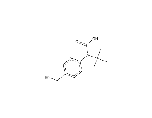 CC(C)(C)N(C(=O)O)c1ccc(CBr)cn1